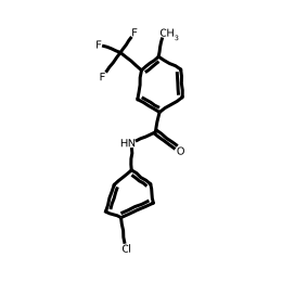 Cc1ccc(C(=O)Nc2ccc(Cl)cc2)cc1C(F)(F)F